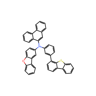 c1cc(-c2cccc3c2sc2ccccc23)cc(N(c2ccc3oc4ccccc4c3c2)c2cc3ccccc3c3ccccc23)c1